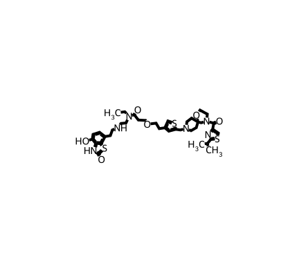 CCN(CCNCCc1ccc(O)c2[nH]c(=O)sc12)C(=O)CCOCCc1csc(CN2CCC3(CC2)CN(C(=O)c2csc(C(C)C)n2)CCO3)c1